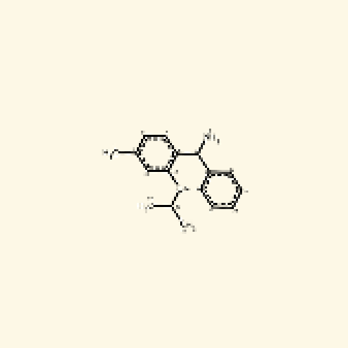 Cc1ccc(C(N)c2ccccc2)c(OC(C)C)c1